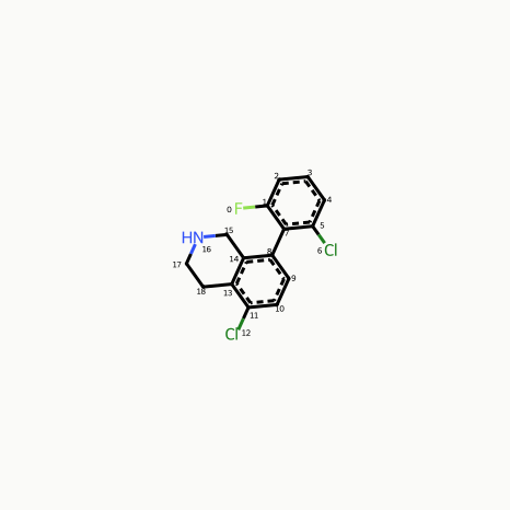 Fc1cccc(Cl)c1-c1ccc(Cl)c2c1CNCC2